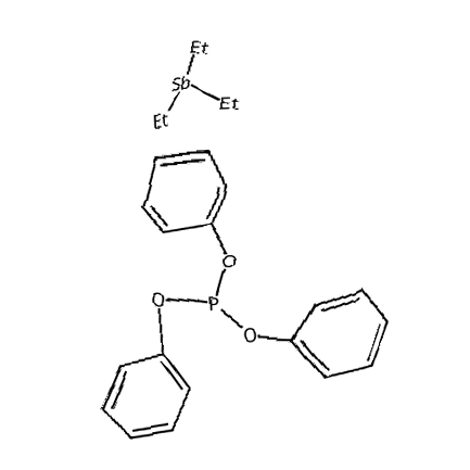 C[CH2][Sb]([CH2]C)[CH2]C.c1ccc(OP(Oc2ccccc2)Oc2ccccc2)cc1